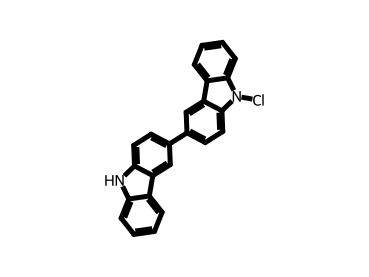 Cln1c2ccccc2c2cc(-c3ccc4[nH]c5ccccc5c4c3)ccc21